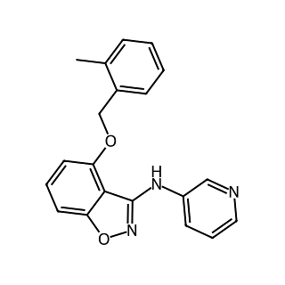 Cc1ccccc1COc1cccc2onc(Nc3cccnc3)c12